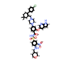 CC1(C)CCC(c2ccc(Cl)cc2)=C(CN2CCN(c3ccc(C(=O)NS(=O)(=O)c4ccc(NCC5CCOCC5)c([N+](=O)[O-])c4)c(Oc4cnc5[nH]ccc5c4)c3)CC2)C1